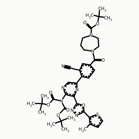 Cc1ccsc1-c1nnc(-c2nc(-c3ccc(C(=O)N4CCCN(C(=O)OC(C)(C)C)CC4)cc3C#N)cnc2N(C(=O)OC(C)(C)C)C(=O)OC(C)(C)C)o1